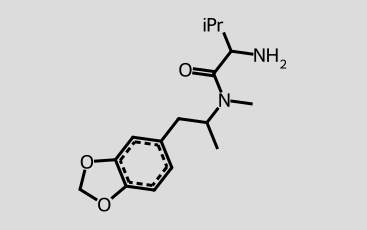 CC(C)C(N)C(=O)N(C)C(C)Cc1ccc2c(c1)OCO2